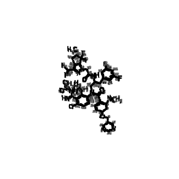 C=Nc1cc(OCc2cncnc2)ccc1C(=O)N(CC(Cc1cc(F)cc(F)c1)NC(=O)Cn1nc(C(F)F)c2c1C(F)(F)[C@@H](C)C2)c1ccc(Cl)c(C(=N)N[S+](C)[O-])c1NC